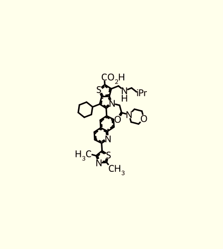 Cc1nc(C)c(-c2ccc3cc(-c4c(C5CCCCC5)c5sc(C(=O)O)c(CNCC(C)C)c5n4CC(=O)N4CCOCC4)ccc3n2)s1